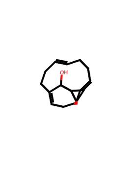 OC(/C1=C\CC/C=C/CC/C=C/CC1)C1CC1